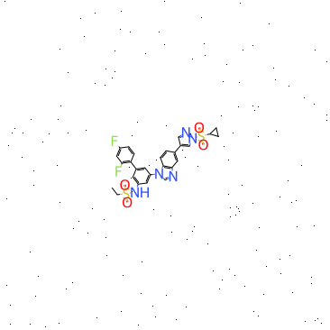 CCS(=O)(=O)Nc1cc(-c2ccc(F)cc2F)cc(-n2cnc3cc(-c4cnn(S(=O)(=O)C5CC5)c4)ccc32)c1